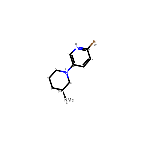 CN[C@H]1CCCN(c2ccc(Br)nc2)C1